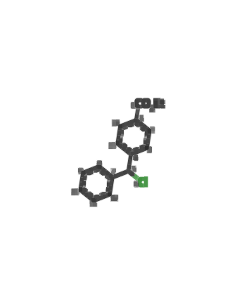 CCOC(=O)c1ccc(C(Cl)c2ccccc2)cc1